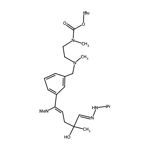 CN/C(=C\CC(C)(O)C=NNC(C)C)c1cccc(CN(C)CCN(C)C(=O)OC(C)(C)C)c1